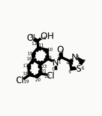 CN(C(=O)c1cscn1)c1cc(C(=O)O)cc2cc(Cl)cc(Cl)c12